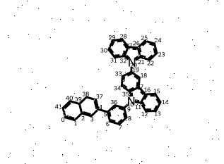 C1=CC2=CC(c3cccc(-n4c5ccccc5c5cc(-n6c7ccccc7c7ccccc76)ccc54)c3)=CCC2C=C1